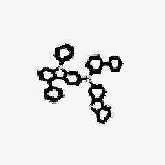 c1ccc(-c2cccc(N(c3ccc4c(c3)sc3ccccc34)c3ccc4c5c(-c6ccccc6)cccc5n(-c5ccccc5)c4c3)c2)cc1